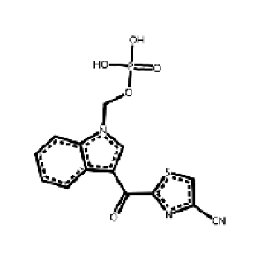 N#Cc1csc(C(=O)c2cn(COP(=O)(O)O)c3ccccc23)n1